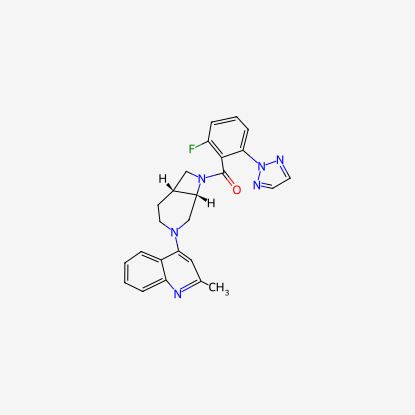 Cc1cc(N2CC[C@@H]3CN(C(=O)c4c(F)cccc4-n4nccn4)[C@@H]3C2)c2ccccc2n1